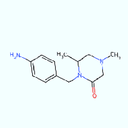 CC1CN(C)CC(=O)N1Cc1ccc(N)cc1